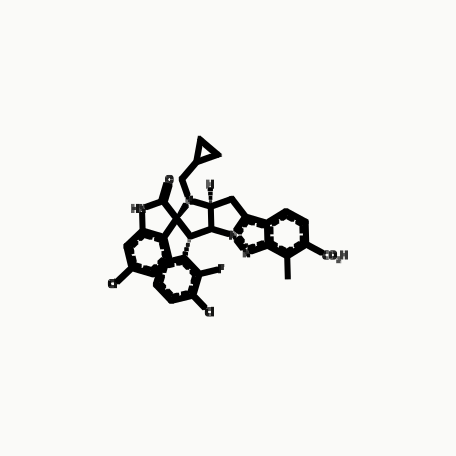 Cc1c(C(=O)O)ccc2c3n(nc12)C1[C@H](C3)N(CC2CC2)[C@@]2(C(=O)Nc3cc(Cl)ccc32)[C@H]1c1cccc(Cl)c1F